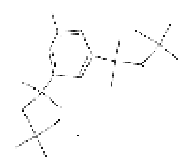 [CH2]c1cc(C(C)(C)CC(C)(C)C)cc(C(C)(C)CC(C)(C)C)c1